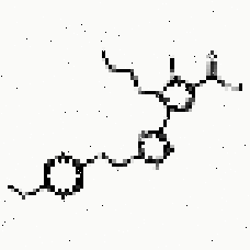 CCCCn1c(-c2csc(COc3ccc(OC)cc3)n2)cc(C(=O)O)c1C